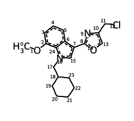 COc1cccc2c(-c3nc(CCl)co3)cn(CC3CCCCC3)c12